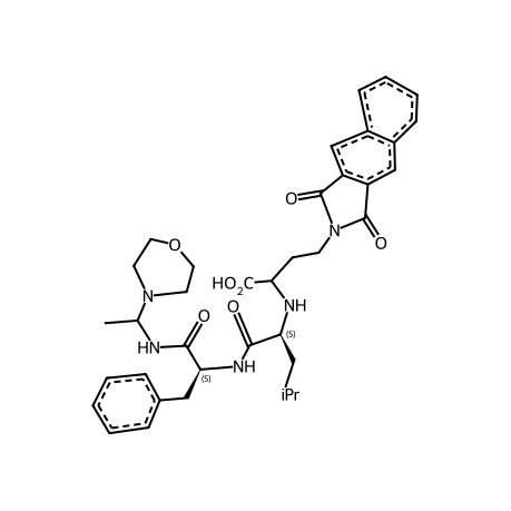 CC(C)C[C@H](NC(CCN1C(=O)c2cc3ccccc3cc2C1=O)C(=O)O)C(=O)N[C@@H](Cc1ccccc1)C(=O)NC(C)N1CCOCC1